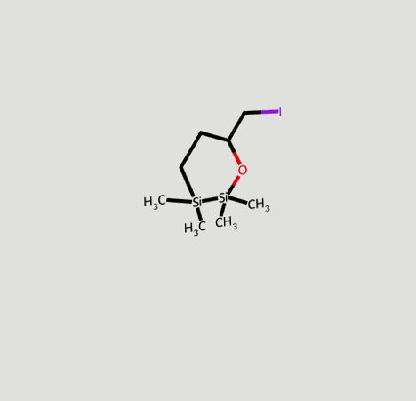 C[Si]1(C)CCC(CI)O[Si]1(C)C